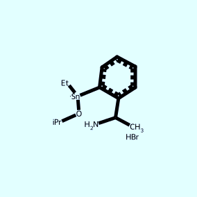 Br.C[CH2][Sn]([O]C(C)C)[c]1ccccc1C(C)N